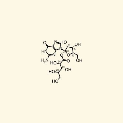 Nc1nc2c(ncn2[C@]2(OC(=O)[C@H](O)[C@H](O)[C@H](O)CO)O[C@H](CO)[C@@H](O)[C@H]2O)c(=O)[nH]1